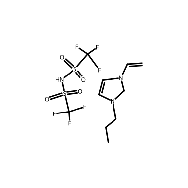 C=CN1C=CN(CCC)C1.O=S(=O)(NS(=O)(=O)C(F)(F)F)C(F)(F)F